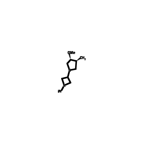 CO[C@H]1CN(C2CN(C(C)C)C2)C[C@H]1C